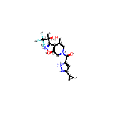 CC1CN(C(=O)c2cc(C3CC3)n[nH]2)Cc2onc(C(C)(O)C(F)(F)F)c21